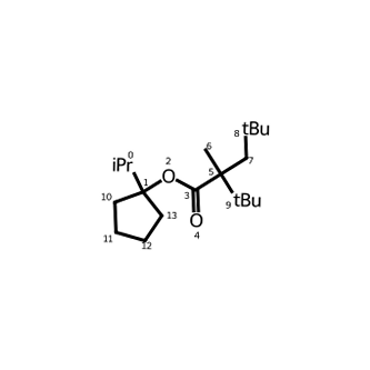 CC(C)C1(OC(=O)C(C)(CC(C)(C)C)C(C)(C)C)CCCC1